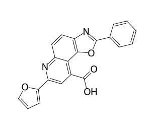 O=C(O)c1cc(-c2ccco2)nc2ccc3nc(-c4ccccc4)oc3c12